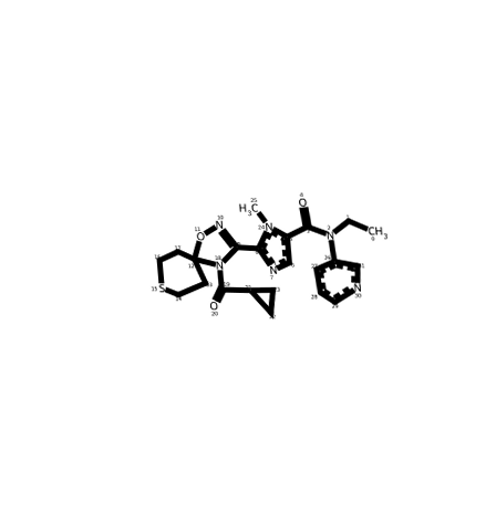 CCN(C(=O)c1cnc(C2=NOC3(CCSCC3)N2C(=O)C2CC2)n1C)c1cccnc1